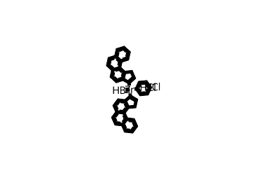 Cl.Cl.[BH]=[Zr]([C]1=CCc2c1ccc1ccc3ccccc3c21)([C]1=CCc2c1ccc1ccc3ccccc3c21)[c]1ccccc1